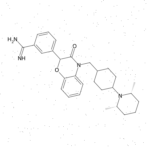 C[C@@H]1CCC[C@H](C)N1C1CCC(CN2C(=O)C(c3cccc(C(=N)N)c3)Oc3ccccc32)CC1